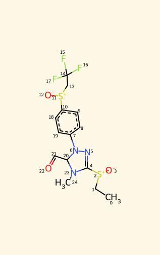 CC[S+]([O-])C1=NN(c2ccc([S+]([O-])CC(F)(F)F)cc2)C(C=O)N1C